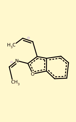 C/C=C\c1c(/N=C\C)oc2ccccc12